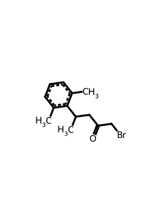 Cc1cccc(C)c1C(C)CC(=O)CBr